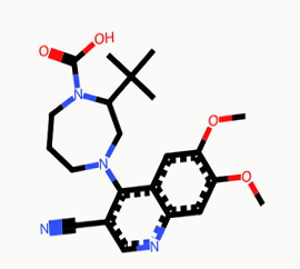 COc1cc2ncc(C#N)c(N3CCCN(C(=O)O)C(C(C)(C)C)C3)c2cc1OC